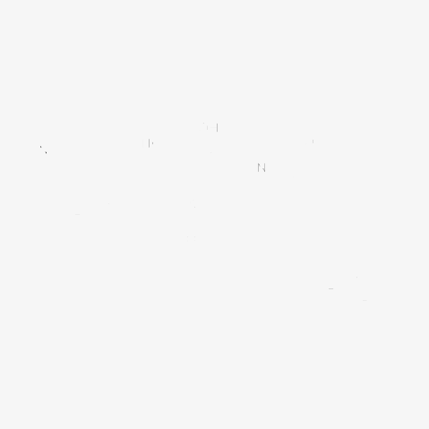 Cc1cc(C(F)(F)F)ccc1[S+]([O-])N1C[C@H]([S+]([O-])c2ccc(C#N)c(F)c2)C(O)(CO)C1